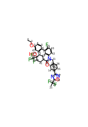 CCOc1ccc(-c2cc(N(CC34CCC(c5noc(C(C)(F)F)n5)(CC3)CC4)C(=O)C3CCC(O)(C(F)(F)F)CC3)ccc2F)cc1